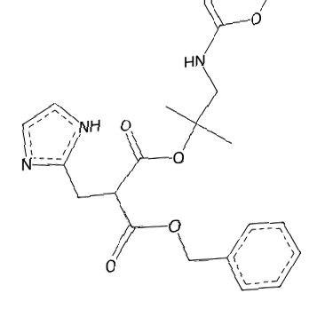 CC(C)(C)OC(=O)NCC(C)(C)OC(=O)C(Cc1ncc[nH]1)C(=O)OCc1ccccc1